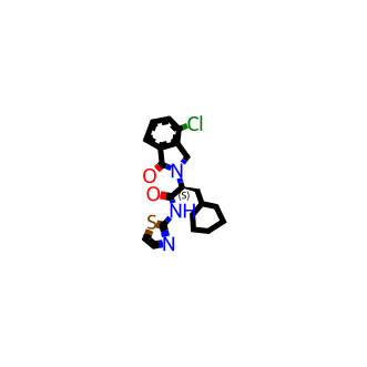 O=C(Nc1nccs1)[C@H](CC1CCCCC1)N1Cc2c(Cl)cccc2C1=O